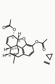 C1CC1.C=C.CC(=O)Oc1ccc2c3c1O[C@H]1[C@@H](OC(C)=O)C=C[C@H]4[C@@H](C2)N(C)CC[C@@]341